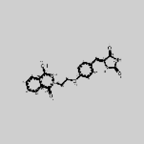 O=C1NC(=O)C(=Cc2ccc(OCCn3nc(O)c4ccccc4c3=O)cc2)S1